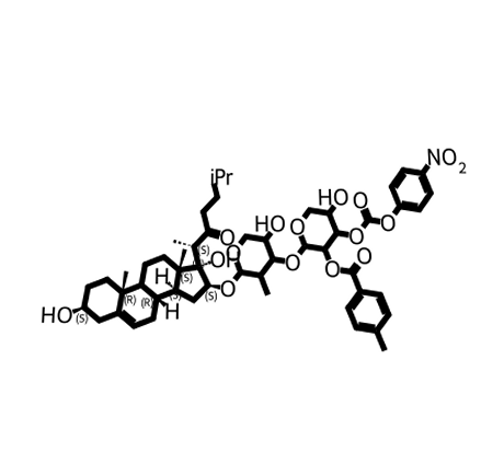 Cc1ccc(C(=O)OC2C(OC3C(O)COC(O[C@H]4C[C@H]5[C@@H]6CC=C7C[C@@H](O)CC[C@]7(C)C6CC[C@]5(C)[C@@]4(O)[C@H](C)C(=O)CCC(C)C)C3C)OCC(O)C2OC(=O)Oc2ccc([N+](=O)[O-])cc2)cc1